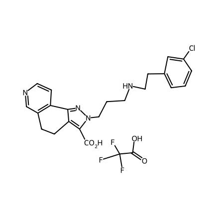 O=C(O)C(F)(F)F.O=C(O)c1c2c(nn1CCCNCCc1cccc(Cl)c1)-c1ccncc1CC2